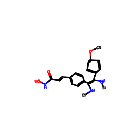 CCN/C(=C(\NCC)c1ccc(OC#N)cc1)c1ccc(/C=C/C(=O)NO)cc1